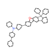 c1ccc(-c2ccc(N(c3ccccc3)c3ccc(-c4ccc5c(c4)oc4cc6c(cc45)-c4ccccc4C6(c4ccccc4)c4ccccc4)cc3)cc2)cc1